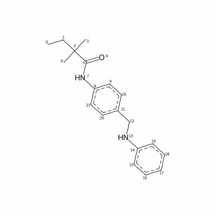 CCC(C)(C)C(=O)Nc1ccc(CNc2ccccc2)cc1